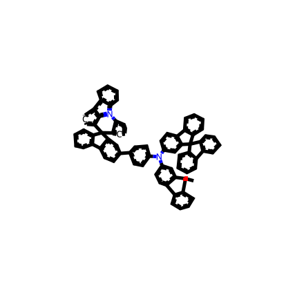 CC1(C)c2ccccc2-c2ccc(N(c3ccc(-c4ccc5c(c4)C4(c6ccccc6-5)c5ccccc5-n5c6ccccc6c6cccc4c65)cc3)c3ccc4c(c3)C3(c5ccccc5-c5ccccc53)c3ccccc3-4)cc21